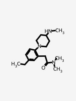 CCc1ccc(N2CCC(NC)CC2)c(CC(=O)N(C)C)c1